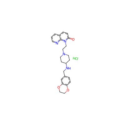 Cl.O=c1ccc2cccnc2n1CCN1CCC(NCc2ccc3c(c2)OCCO3)CC1